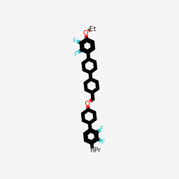 CCCc1ccc(C2CCC(OCC3CCC(C4CCC(c5ccc(OCC)c(F)c5F)CC4)CC3)CC2)c(F)c1F